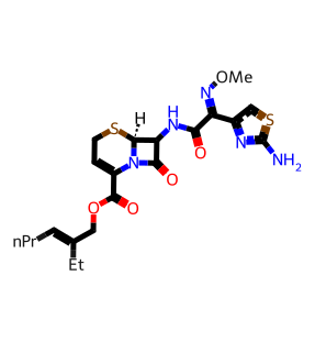 CCCC=C(CC)COC(=O)C1=CCS[C@H]2C(NC(=O)C(=NOC)c3csc(N)n3)C(=O)N12